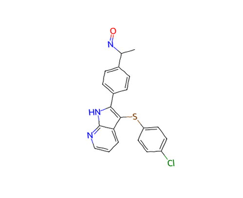 CC(N=O)c1ccc(-c2[nH]c3ncccc3c2Sc2ccc(Cl)cc2)cc1